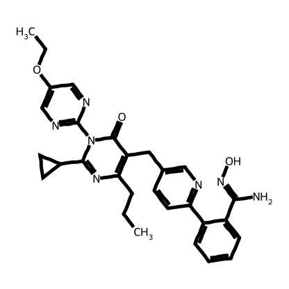 CCCc1nc(C2CC2)n(-c2ncc(OCC)cn2)c(=O)c1Cc1ccc(-c2ccccc2C(N)=NO)nc1